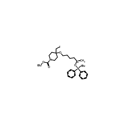 C[C@H](CCCCOC1(CI)CCN(C(=O)OC(C)(C)C)CC1)O[Si](c1ccccc1)(c1ccccc1)C(C)(C)C